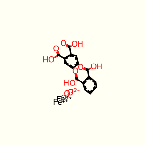 O=C(O)c1ccccc1C(=O)O.O=C(O)c1ccccc1C(=O)O.[Fe+3].[Fe+3].[O-2].[O-2].[O-2]